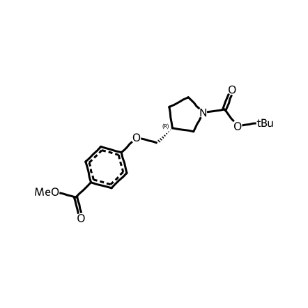 COC(=O)c1ccc(OC[C@@H]2CCN(C(=O)OC(C)(C)C)C2)cc1